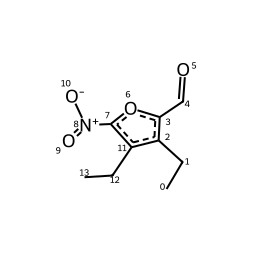 CCc1c(C=O)oc([N+](=O)[O-])c1CC